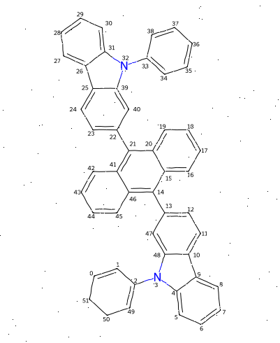 C1=CC(n2c3ccccc3c3ccc(-c4c5ccccc5c(-c5ccc6c7ccccc7n(-c7ccccc7)c6c5)c5ccccc45)cc32)=CCC1